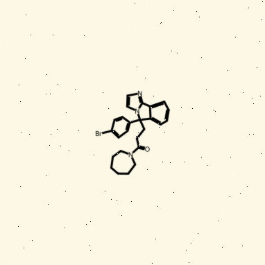 O=C(CCC1(c2ccc(Br)cc2)c2ccccc2-c2nccn21)N1CCCCCC1